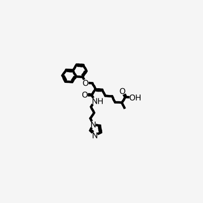 CC(CCCC=C(COc1cccc2ccccc12)C(=O)NCCCn1ccnc1)C(=O)O